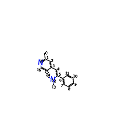 Cc1cc(C=C(c2ccccc2)N(C)C)ccn1